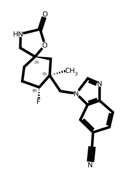 C[C@@]1(Cn2cnc3ccc(C#N)cc32)C[C@@]2(CC[C@H]1F)CNC(=O)O2